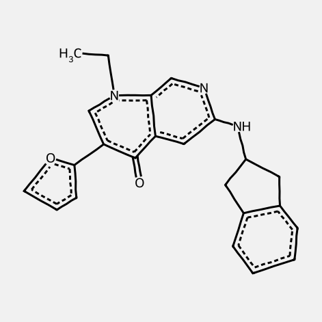 CCn1cc(-c2ccco2)c(=O)c2cc(NC3Cc4ccccc4C3)ncc21